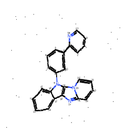 c1ccc(-c2cccc(-n3c4ccccc4c4nc5ccccn5c43)c2)nc1